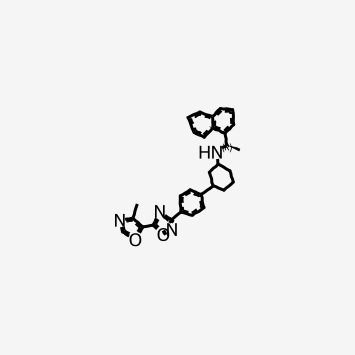 Cc1ncoc1-c1nc(-c2ccc(C3CCCC(N[C@H](C)c4cccc5ccccc45)C3)cc2)no1